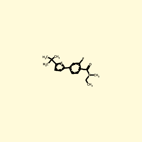 CCN(C)C(=O)c1ccc(-c2ccc(C(C)(C)C)s2)cc1F